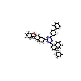 c1ccc(-c2ccc(-c3nc(-c4ccc5cc6c(cc5c4)oc4ccccc46)nc(-c4ccc(-c5ccccc5)c5ccccc45)n3)cc2)cc1